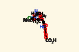 COc1ccc(C[C@H]2NC(=O)C=CC[C@@H]([C@H](C)[C@@H]3O[C@H]3c3ccc(COC(=O)NCCOCCOCCOCCOCCC(=O)O)cc3)OC(=O)[C@H](CC(C)C)OC(=O)C(C)(C)CNC2=O)cc1Cl